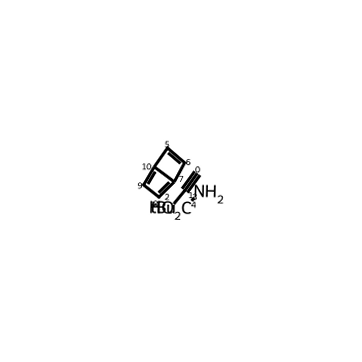 C#CC(C)(C)C.NC(=O)O.c1cc2ccc1-2